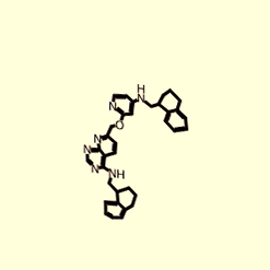 c1ccc2c(c1)CCCC2CNc1ccnc(OCc2ccc3c(NCC4CCCc5ccccc54)ncnc3n2)c1